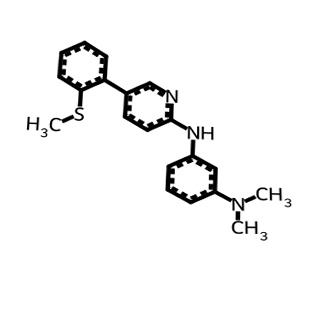 CSc1ccccc1-c1ccc(Nc2cccc(N(C)C)c2)nc1